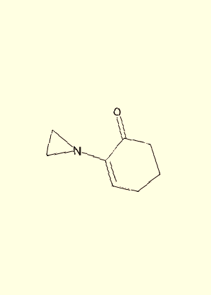 O=C1CCCC=C1N1CC1